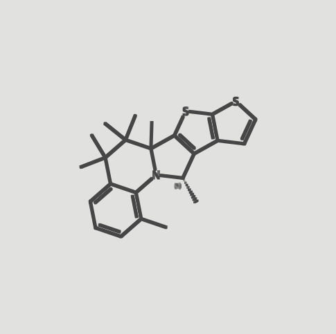 Cc1cccc2c1N1[C@@H](C)c3c(sc4sccc34)C1(C)C(C)(C)C2(C)C